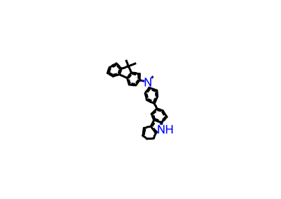 CN(c1ccc(-c2ccc3[nH]c4c(c3c2)C=CCC4)cc1)c1ccc2c(c1)C(C)(C)c1ccccc1-2